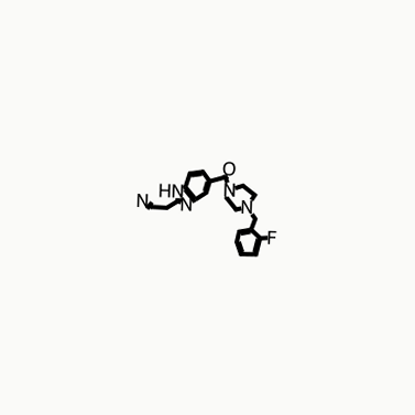 N#CCc1nc2cc(C(=O)N3CCN(Cc4ccccc4F)CC3)ccc2[nH]1